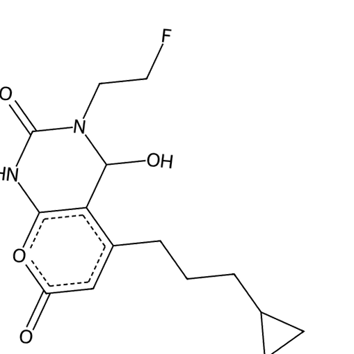 O=C1Nc2oc(=O)cc(CCCC3CC3)c2C(O)N1CCF